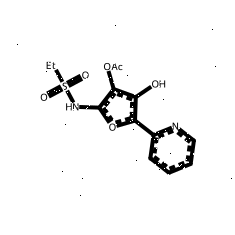 CCS(=O)(=O)Nc1oc(-c2ccccn2)c(O)c1OC(C)=O